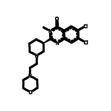 Cn1c([C@@H]2CCCN(CCN3CCOCC3)C2)nc2cc(Cl)c(Cl)cc2c1=O